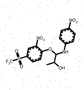 CC(O)C(Nc1ccc([N+](=O)[O-])cc1)Oc1ccc(S(=O)(=O)C(F)(F)F)cc1[N+](=O)[O-]